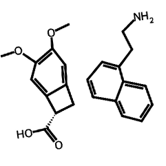 COc1cc2c(cc1OC)[C@@H](C(=O)O)C2.NCCc1cccc2ccccc12